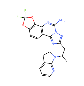 CC(Cc1nc2c3ccc4c(c3nc(N)n2n1)OC(F)(F)O4)N1CCc2cccnc21